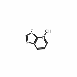 O[n+]1cccc2nc[nH]c21